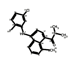 Cc1cccc2c(Nc3cc(Cl)ccc3F)ccc(C(=O)N(C)C)c12